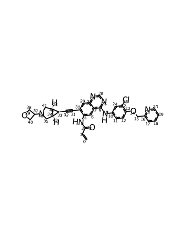 C=CC(=O)Nc1cc2c(Nc3ccc(OCc4ccccn4)c(Cl)c3)ncnc2cc1C#C[C@H]1[C@H]2CN(C3COC3)C[C@@H]12